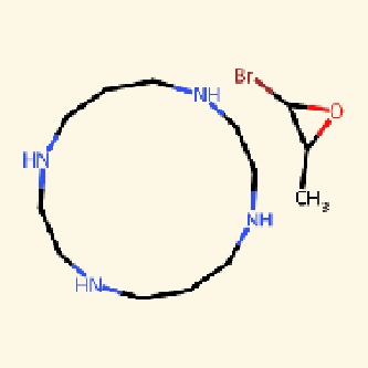 C1CNCCNCCCNCCNC1.CC1OC1Br